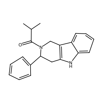 CC(C)C(=O)N1Cc2c([nH]c3ccccc23)CC1c1ccccc1